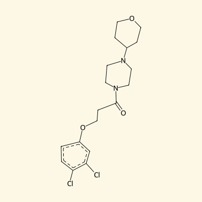 O=C(CCOc1ccc(Cl)c(Cl)c1)N1CCN(C2CCOCC2)CC1